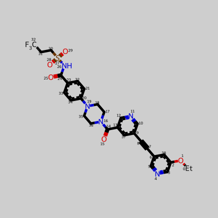 CCOc1cncc(C#Cc2cncc(C(=O)N3CCN(c4ccc(C(=O)NS(=O)(=O)CCC(F)(F)F)cc4)CC3)c2)c1